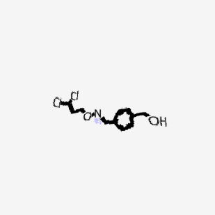 OCc1ccc(/C=N/OCC=C(Cl)Cl)cc1